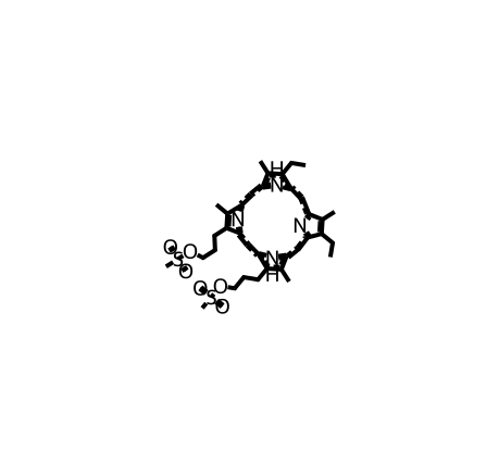 CCC1=C(C)c2cc3[nH]c(cc4nc(cc5[nH]c(cc1n2)c(C)c5CCCOS(C)(=O)=O)C(CCCOS(C)(=O)=O)=C4C)c(C)c3CC